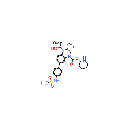 COC(O)N1c2ccc(-c3ccc(NS(C)(=O)=O)cc3)cc2N(C(=O)OC2CCCCN2)C[C@@H]1C